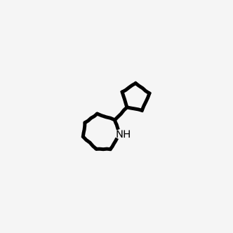 C1CCNC(C2CCCC2)CC1